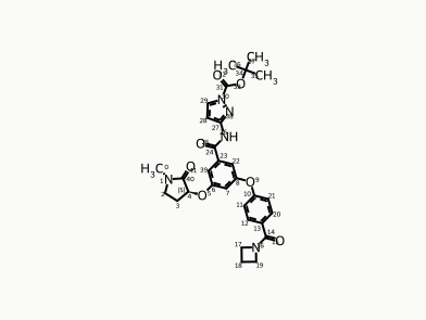 CN1CC[C@H](Oc2cc(Oc3ccc(C(=O)N4CCC4)cc3)cc(C(=O)Nc3ccn(C(=O)OC(C)(C)C)n3)c2)C1=O